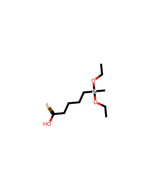 CCO[Si](C)(CCCCC(O)=S)OCC